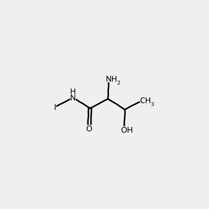 CC(O)C(N)C(=O)NI